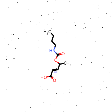 CCCCNC(=O)OC(C)/C=C/C(=O)O